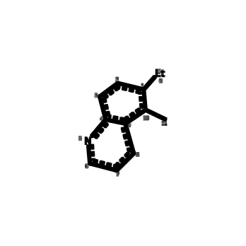 CCc1ccc2ncccc2c1C